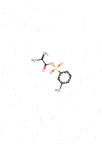 C=C(C)C(=O)OS(=O)(=O)c1cccc(C)c1